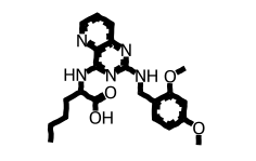 CCCCC(Nc1nc(NCc2ccc(OC)cc2OC)nc2cccnc12)C(=O)O